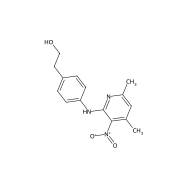 Cc1cc(C)c([N+](=O)[O-])c(Nc2ccc(CCO)cc2)n1